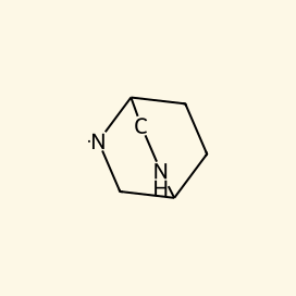 C1CC2C[N]C1CN2